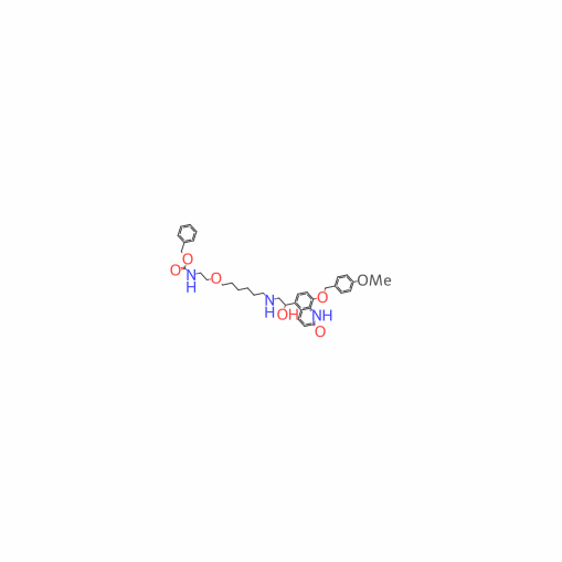 COc1ccc(COc2ccc(C(O)CNCCCCCCOCCNC(=O)OCc3ccccc3)c3ccc(=O)[nH]c23)cc1